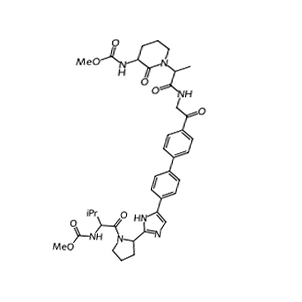 COC(=O)NC1CCCN(C(C)C(=O)NCC(=O)c2ccc(-c3ccc(-c4cnc(C5CCCN5C(=O)C(NC(=O)OC)C(C)C)[nH]4)cc3)cc2)C1=O